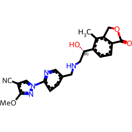 COc1nn(-c2ccc(CNC[C@H](O)c3ccc4c(c3C)COC4=O)cn2)cc1C#N